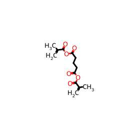 C=C(C)C(=O)OC(=O)CCCC(=O)OC(=O)C(=C)C